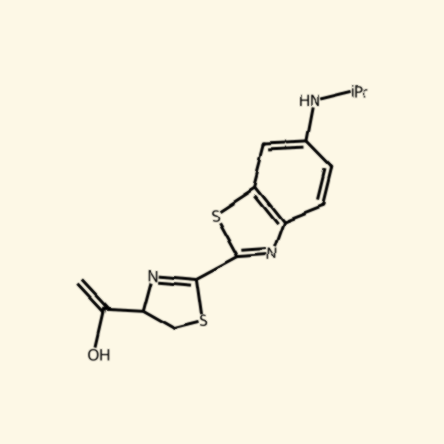 C=C(O)C1CSC(c2nc3ccc(NC(C)C)cc3s2)=N1